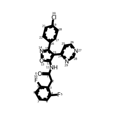 O=C(Cc1c(F)cccc1F)Nc1onc(-c2ccc(Cl)cc2)c1-c1ccncn1